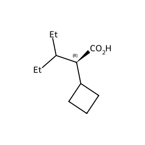 CCC(CC)[C@@H](C(=O)O)C1CCC1